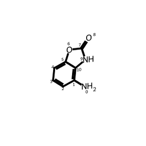 Nc1cccc2oc(=O)[nH]c12